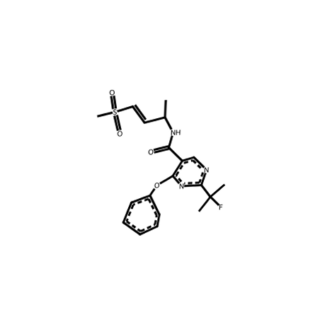 CC(C=CS(C)(=O)=O)NC(=O)c1cnc(C(C)(C)F)nc1Oc1ccccc1